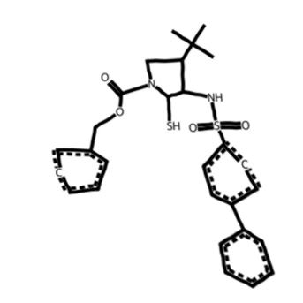 CC(C)(C)C1CN(C(=O)OCc2ccccc2)C(S)C1NS(=O)(=O)c1ccc(-c2ccccc2)cc1